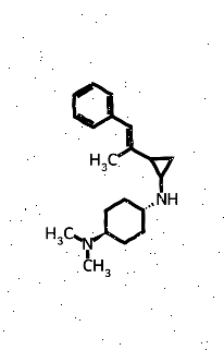 C/C(=C\c1ccccc1)C1CC1N[C@H]1CC[C@H](N(C)C)CC1